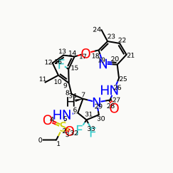 CCS(=O)(=O)N[C@@H]1[C@@H]2Cc3c(C)ccc(c3F)Oc3nc(ccc3C)CNC(=O)N2CC1(F)F